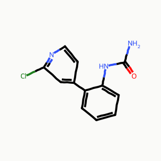 NC(=O)Nc1ccccc1-c1ccnc(Cl)c1